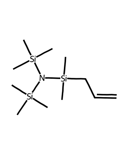 C=CC[Si](C)(C)N([Si](C)(C)C)[Si](C)(C)C